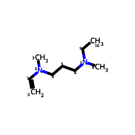 C=CN(C)CCCN(C)CC